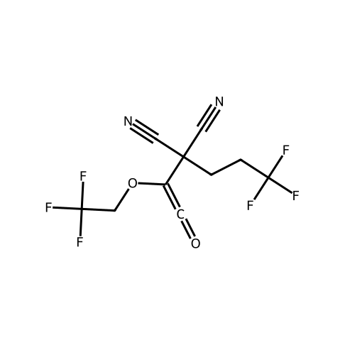 N#CC(C#N)(CCC(F)(F)F)C(=C=O)OCC(F)(F)F